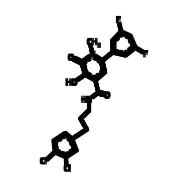 Cn1c(-c2cc(F)cc(F)c2)cc(C(=O)NCCCc2ccc(Cl)c(Cl)c2)c(O)c1=O